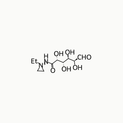 [CH2]C[N+]1(NC(=O)[C@H](O)[C@@H](O)[C@@H](O)[C@H](O)C=O)CC1